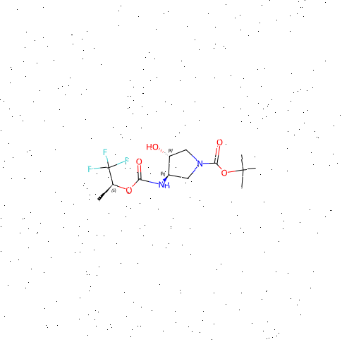 C[C@H](OC(=O)N[C@@H]1CN(C(=O)OC(C)(C)C)C[C@H]1O)C(F)(F)F